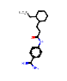 CCOC(=O)CC1CCCCC1CCC(=O)Nc1ccc(C(=N)N)cc1